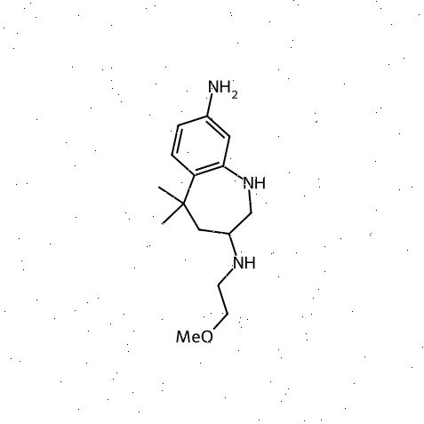 COCCNC1CNc2cc(N)ccc2C(C)(C)C1